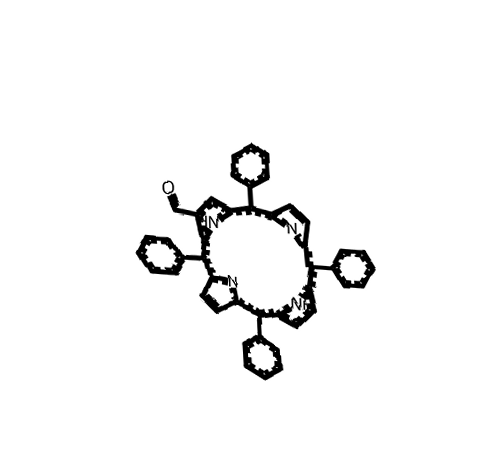 O=Cc1cc2[nH]c1c(-c1ccccc1)c1nc(c(-c3ccccc3)c3ccc([nH]3)c(-c3ccccc3)c3nc(c2-c2ccccc2)C=C3)C=C1